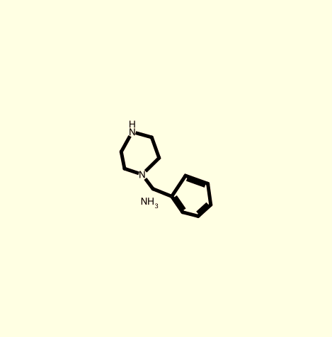 N.c1ccc(CN2CCNCC2)cc1